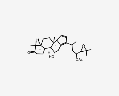 CC(=O)OC(CC(C)C1=C2C[C@H](O)[C@H]3[C@@]4(C)CCC(=O)C(C)(C)[C@@H]4CC[C@]3(C)[C@@]2(C)C=C1)C1OC1(C)C